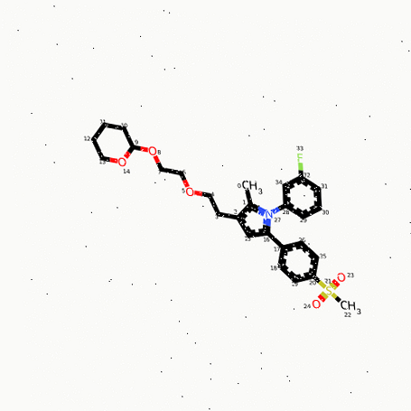 Cc1c(CCOCCOC2CCCCO2)cc(-c2ccc(S(C)(=O)=O)cc2)n1-c1cccc(F)c1